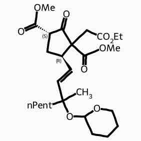 CCCCCC(C)(C=C[C@H]1C[C@H](C(=O)OC)C(=O)C1(CC(=O)OCC)C(=O)OC)OC1CCCCO1